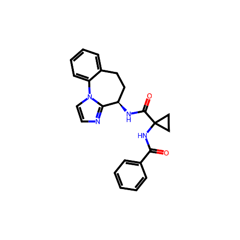 O=C(NC1(C(=O)N[C@@H]2CCc3ccccc3-n3ccnc32)CC1)c1ccccc1